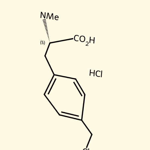 CN[C@@H](Cc1ccc(CCl)cc1)C(=O)O.Cl